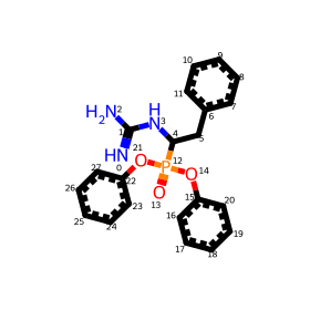 N=C(N)NC(Cc1ccccc1)P(=O)(Oc1ccccc1)Oc1ccccc1